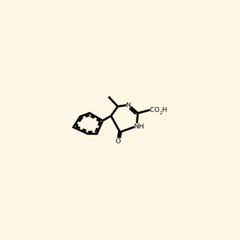 CC1N=C(C(=O)O)NC(=O)C1c1ccccc1